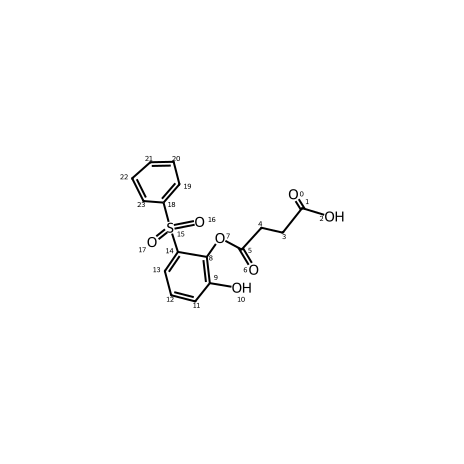 O=C(O)CCC(=O)Oc1c(O)cccc1S(=O)(=O)c1ccccc1